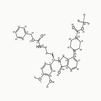 COc1ccc([C@@H](CCCNC(=O)OCc2ccccc2)N2Cc3c(cccc3N3CCN(C(=O)OC(C)(C)C)CC3)C2=O)cc1OC